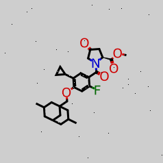 COC(=O)[C@@H]1CC(=O)CN1C(=O)c1cc(C2CC2)c(OCC23CC(C)CC(CC(C)C2)C3)cc1F